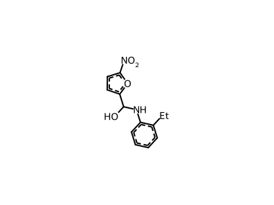 CCc1ccccc1NC(O)c1ccc([N+](=O)[O-])o1